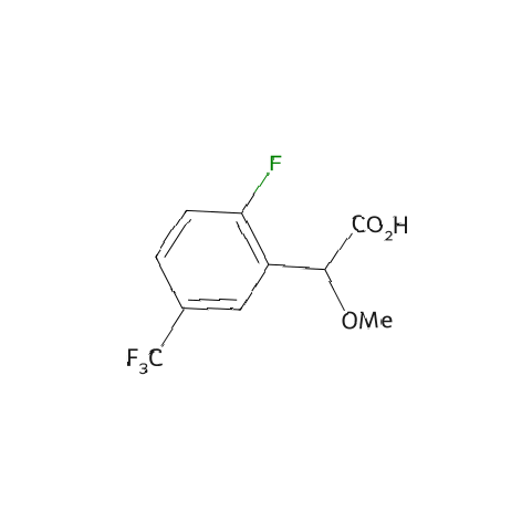 COC(C(=O)O)c1cc(C(F)(F)F)ccc1F